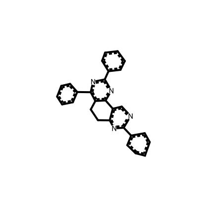 c1ccc(-c2ncc3c(n2)CCc2c(-c4ccccc4)nc(-c4ccccc4)nc2-3)cc1